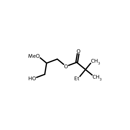 CCC(C)(C)C(=O)OCC(CO)OC